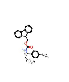 O=C(O)C[C@H](NC(=O)OCC1c2ccccc2-c2ccccc21)c1ccc([N+](=O)[O-])cc1